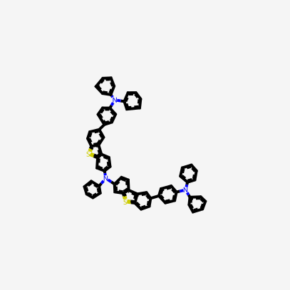 c1ccc(N(c2ccccc2)c2ccc(-c3ccc4sc5cc(N(c6ccccc6)c6ccc7c(c6)sc6ccc(-c8ccc(N(c9ccccc9)c9ccccc9)cc8)cc67)ccc5c4c3)cc2)cc1